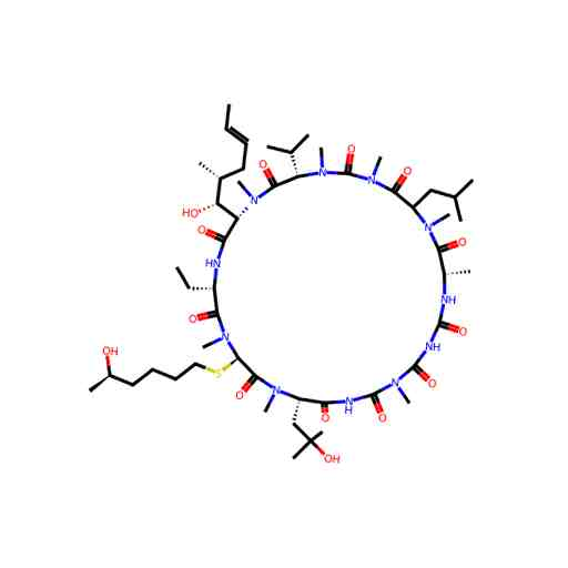 C/C=C/C[C@@H](C)[C@@H](O)[C@H]1C(=O)N[C@@H](CC)C(=O)N(C)[C@H](SCCCC[C@@H](C)O)C(=O)N(C)[C@@H](CC(C)(C)O)C(=O)NC(=O)N(C)C(=O)NC(=O)N[C@@H](C)C(=O)N(C)C(CC(C)C)C(=O)N(C)C(=O)N(C)[C@@H](C(C)C)C(=O)N1C